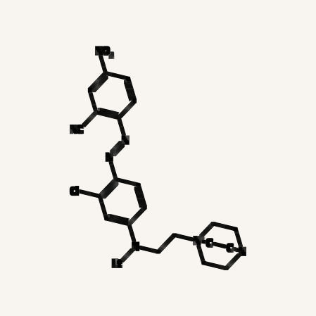 CCN(CC[N+]12CCN(CC1)CC2)c1ccc(N=Nc2ccc([N+](=O)[O-])cc2C#N)c(Cl)c1